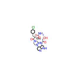 CC(C)(C)C(Cc1ccc(Cl)cc1)(OC(N)=O)C(=O)N1CCN(c2ccnc3[nH]cc(NC(=O)CO)c23)CC1